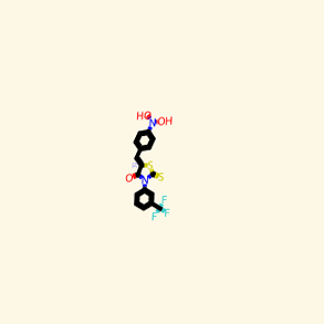 O=C1/C(=C/c2ccc(N(O)O)cc2)SC(=S)N1c1cccc(C(F)(F)F)c1